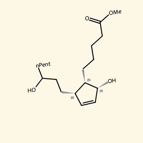 CCCCCC(O)CC[C@H]1C=C[C@@H](O)[C@H]1CCCCC(=O)OC